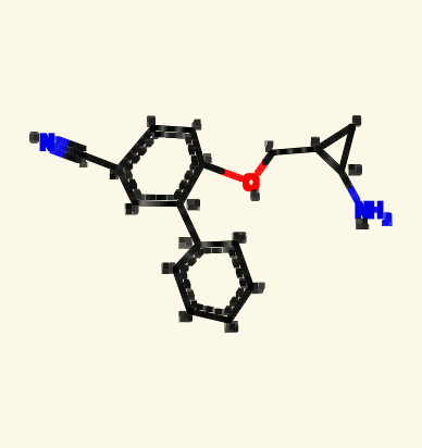 N#Cc1ccc(OCC2CC2N)c(-c2ccccc2)c1